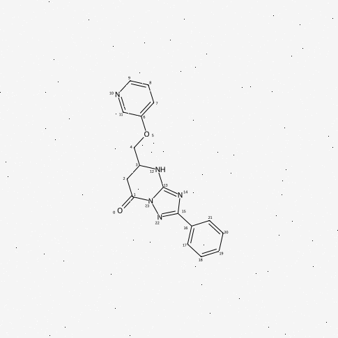 O=C1CC(COc2cccnc2)Nc2nc(-c3ccccc3)nn21